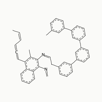 C=Nc1c(/N=C\Cc2cccc(-c3cccc(-c4cccc(-c5cccc(C)c5)c4)c3)c2)c(C)c(C=C=C/C=C\C)c2ccccc12